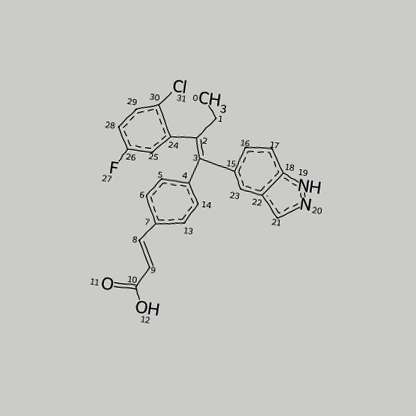 CC/C(=C(/c1ccc(/C=C/C(=O)O)cc1)c1ccc2[nH]ncc2c1)c1cc(F)ccc1Cl